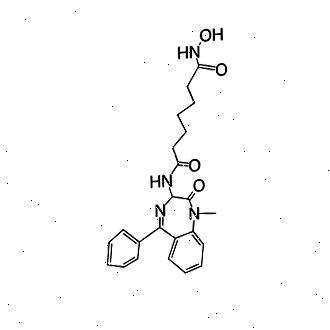 CN1C(=O)C(NC(=O)CCCCCC(=O)NO)N=C(c2ccccc2)c2ccccc21